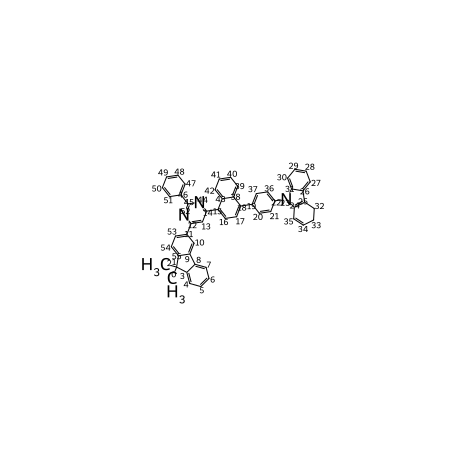 CC1(C)c2ccccc2-c2cc(-c3cc(-c4ccc(-c5ccc(-n6c7c(c8ccccc86)CCC=C7)cc5)c5ccccc45)nc(-c4ccccc4)n3)ccc21